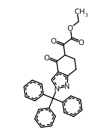 CCOC(=O)C(=O)C1CCc2nn(C(c3ccccc3)(c3ccccc3)c3ccccc3)cc2C1=O